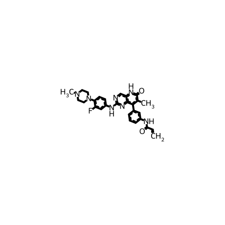 C=CC(=O)Nc1cccc(-c2c(C)c(=O)[nH]c3cnc(Nc4ccc(N5CCN(C)CC5)c(F)c4)nc23)c1